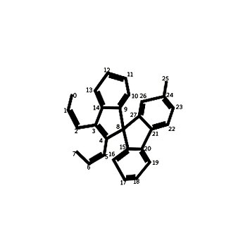 C/C=C\C1=C(/C=C\C)C2(c3ccccc31)c1ccccc1-c1ccc(C)cc12